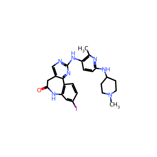 Cc1nc(NC2CCN(C)CC2)ccc1Nc1ncc2c(n1)-c1ccc(I)cc1NC(=O)C2